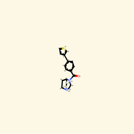 O=C(c1ccc(-c2ccsc2)cc1)N1CCN2CCC1CC2